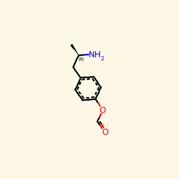 C[C@@H](N)Cc1ccc(OC=O)cc1